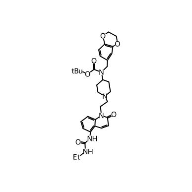 CCNC(=O)Nc1cccc2c1ccc(=O)n2CCN1CCC(N(Cc2ccc3c(c2)OCCO3)C(=O)OC(C)(C)C)CC1